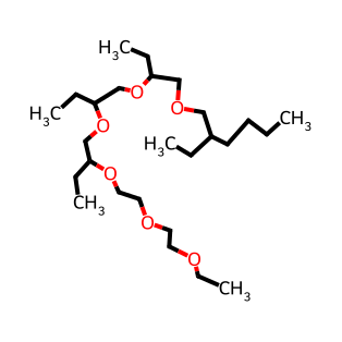 CCCCC(CC)COCC(CC)OCC(CC)OCC(CC)OCCOCCOCC